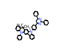 CC1(C)c2ccccc2N(c2ccccc2)c2cc3c4ccccc4n(C4=CC=C(C5=NC(C6=CCCC=C6)=NC(C6C=CC=CC6)C5)CC4)c3cc21